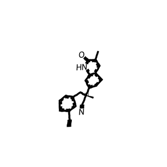 C#Cc1cccc(C[C@@](C)(C#N)c2ccc3cc(C)c(=O)[nH]c3c2)c1